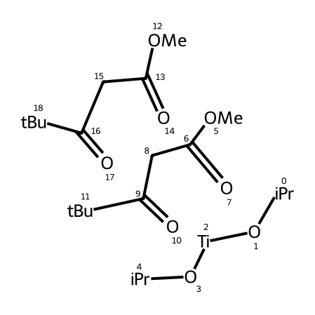 CC(C)[O][Ti][O]C(C)C.COC(=O)CC(=O)C(C)(C)C.COC(=O)CC(=O)C(C)(C)C